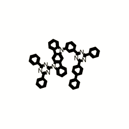 c1ccc(-c2ccc(-c3nc(-c4ccccc4)nc(-c4cccc(-n5c6ccccc6c6cc7c(cc65)c5ccccc5n7-c5nc(-c6ccccc6)nc(-c6ccccc6)n5)c4)n3)cc2)cc1